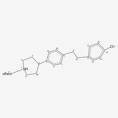 CCCCC[SiH]1CCC(c2ccc(CCc3ccc(Cl)cc3)cc2)CC1